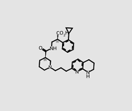 O=C(NC[C@@H](C(=O)O)c1ccccc1C1CC1)[C@@H]1CCCN(CCCc2ccc3c(n2)NCCC3)C1